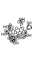 O=S(=O)(O)OC[C@H]1O[C@@H](Sc2cccc(S)c2)[C@H](OS(=O)(=O)O)[C@@H](OS(=O)(=O)O)[C@@H]1O[C@H]1O[C@H](COS(=O)(=O)O)[C@@H](OS(=O)(=O)O)[C@H](OS(=O)(=O)O)[C@H]1OS(=O)(=O)O